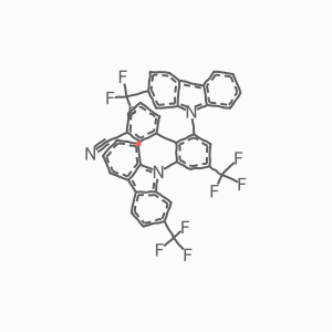 N#Cc1cccc(-c2c(-n3c4ccccc4c4ccc(C(F)(F)F)cc43)cc(C(F)(F)F)cc2-n2c3ccccc3c3ccc(C(F)(F)F)cc32)c1